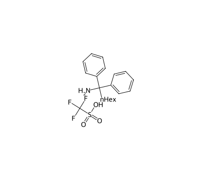 CCCCCCC(N)(c1ccccc1)c1ccccc1.O=S(=O)(O)C(F)(F)F